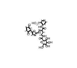 O=C(O)c1cnccc1NC(=O)C(CCNC(=O)C1OC(O)C(O)C(O)C1O)NCc1ncc(-c2cc(Cl)ccc2Cl)o1